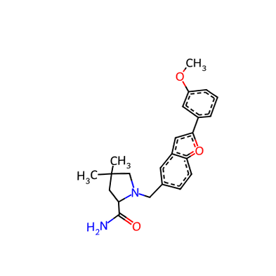 COc1cccc(-c2cc3cc(CN4CC(C)(C)CC4C(N)=O)ccc3o2)c1